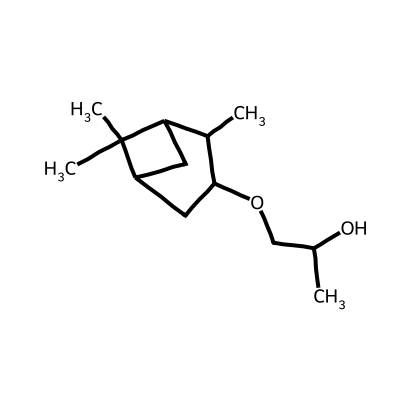 CC(O)COC1CC2CC(C1C)C2(C)C